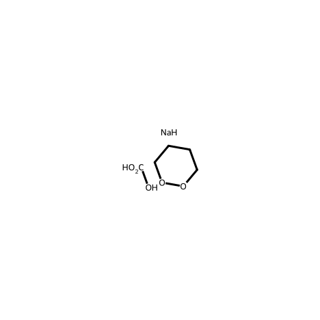 C1CCOOC1.O=C(O)O.[NaH]